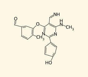 CNc1nc(-c2ccc(O)cc2)nc(Oc2cc(C=O)ccc2C)c1C=N